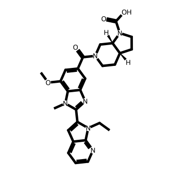 CCn1c(-c2nc3cc(C(=O)N4CC[C@H]5CCN(C(=O)O)[C@H]5C4)cc(OC)c3n2C)cc2cccnc21